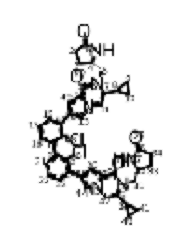 O=C1CC[C@@H](Cn2c(C3CC3)cn3cc(-c4cccc(-c5cccc(-c6cc7c(=O)n(C[C@@H]8CCC(=O)N8)c(C8CC8)cn7c6)c5Cl)c4Cl)cc3c2=O)N1